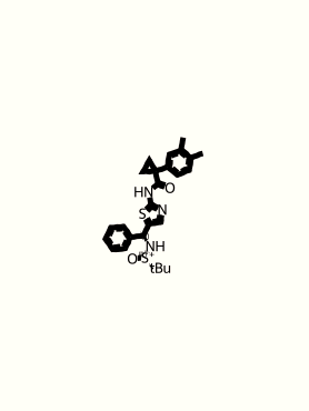 Cc1ccc(C2(C(=O)Nc3ncc([C@@H](N[S@@+]([O-])C(C)(C)C)c4ccccc4)s3)CC2)cc1C